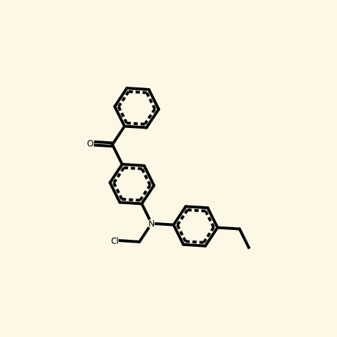 CCc1ccc(N(CCl)c2ccc(C(=O)c3ccccc3)cc2)cc1